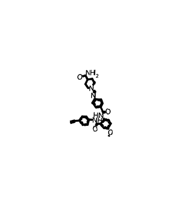 C#Cc1ccc(NC(=O)c2cc(OC)ccc2NC(=O)c2ccc(N=CN3CCC(C(N)=O)CC3)cc2)cc1